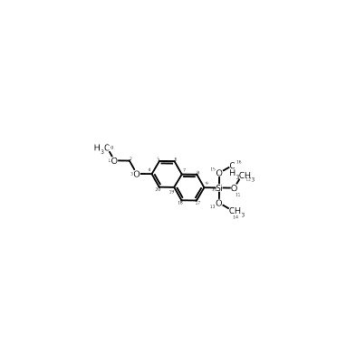 COCOc1ccc2cc([Si](OC)(OC)OC)ccc2c1